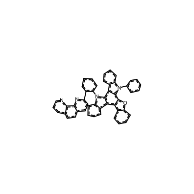 c1ccc(-n2c3ccccc3c3c2c2oc4ccccc4c2c2c4ccccc4n(-c4ccccc4-c4ccc5ccc6cccnc6c5n4)c23)cc1